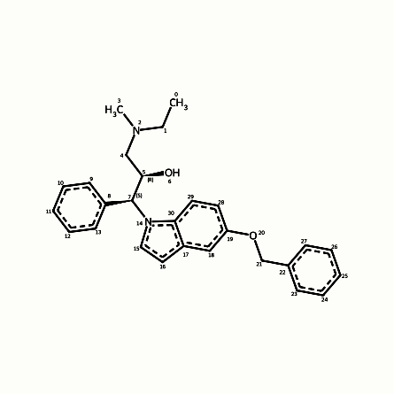 CCN(C)C[C@@H](O)[C@H](c1ccccc1)n1ccc2cc(OCc3ccccc3)ccc21